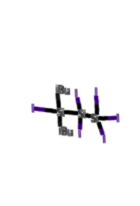 CCC(C)[Si](I)(C(C)CC)[Si](I)(I)[Si](I)(I)I